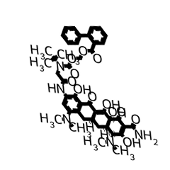 CN(C)c1cc(NC(=O)CN(C(=O)OCOC(=O)c2ccccc2-c2ccccc2)C(C)(C)C)c(O)c2c1C[C@H]1C[C@H]3[C@H](N(C)C)C(O)=C(C(N)=O)C(=O)[C@@]3(O)C(O)=C1C2=O